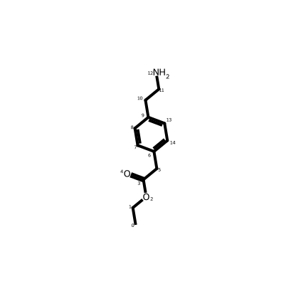 CCOC(=O)Cc1ccc(CCN)cc1